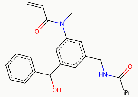 C=CC(=O)N(C)c1cc(CNC(=O)C(C)C)cc(C(O)c2ccccc2)c1